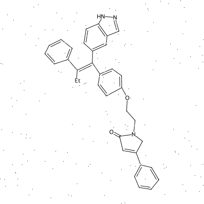 CCC(=C(c1ccc(OCCN2CC(c3ccccc3)=CC2=O)cc1)c1ccc2[nH]ncc2c1)c1ccccc1